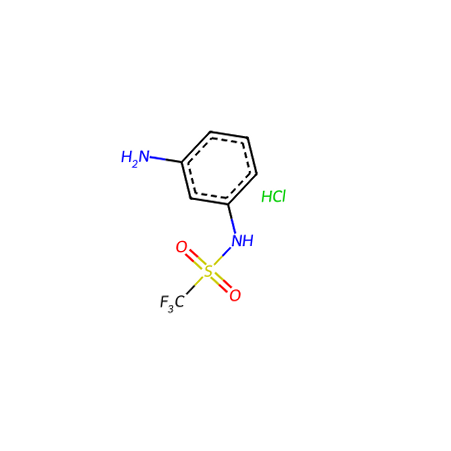 Cl.Nc1cccc(NS(=O)(=O)C(F)(F)F)c1